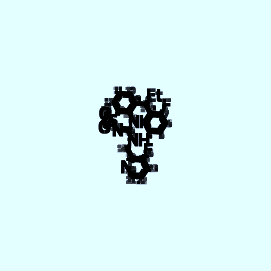 CC[C@@H](c1ccccc1F)c1cccc2c1NC(NCc1ncccc1F)=NS2(=O)=O